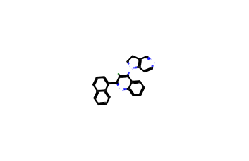 Fc1c(-c2cccc3ccccc23)nc2ccccc2c1N1CCc2cnccc21